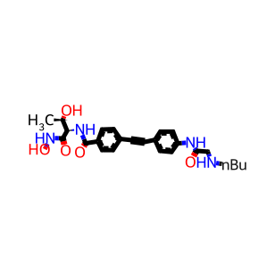 CCCCNCC(=O)Nc1ccc(C#Cc2ccc(C(=O)N[C@H](C(=O)NO)[C@@H](C)O)cc2)cc1